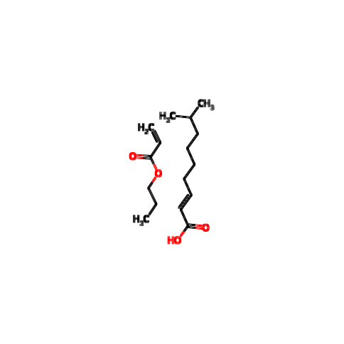 C=CC(=O)OCCC.CC(C)CCCCC=CC(=O)O